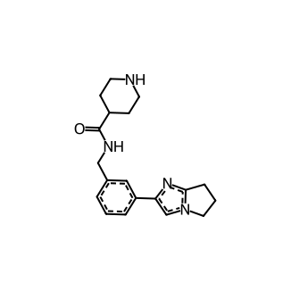 O=C(NCc1cccc(-c2cn3c(n2)CCC3)c1)C1CCNCC1